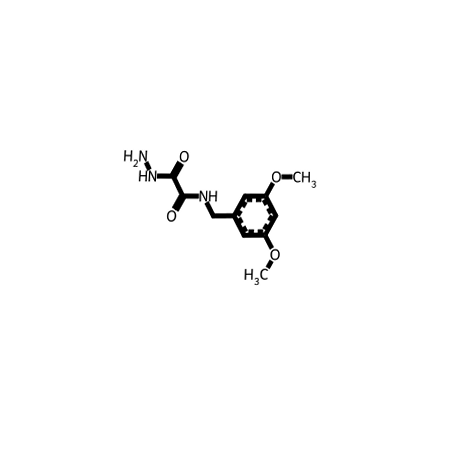 COc1cc(CNC(=O)C(=O)NN)cc(OC)c1